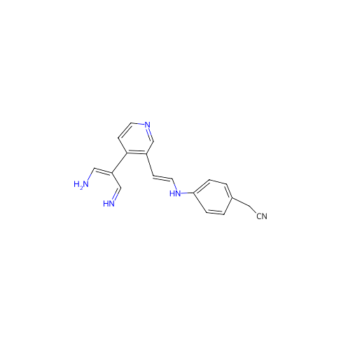 N#CCc1ccc(N/C=C/c2cnccc2/C(C=N)=C/N)cc1